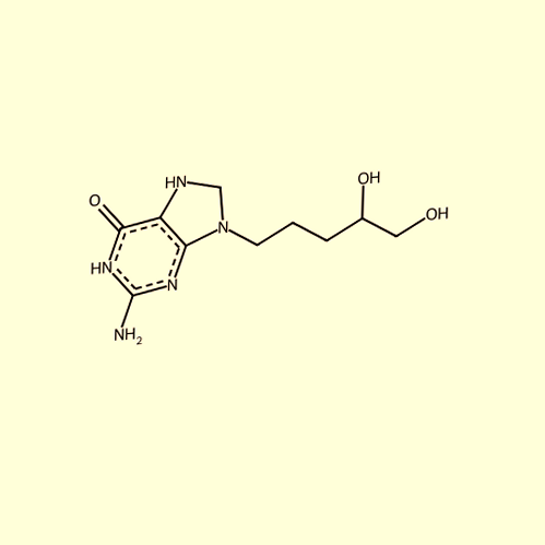 Nc1nc2c(c(=O)[nH]1)NCN2CCCC(O)CO